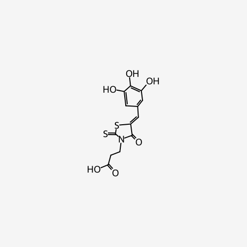 O=C(O)CCN1C(=O)C(=Cc2cc(O)c(O)c(O)c2)SC1=S